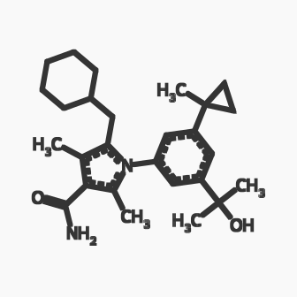 Cc1c(C(N)=O)c(C)n(-c2cc(C(C)(C)O)cc(C3(C)CC3)c2)c1CC1CCCCC1